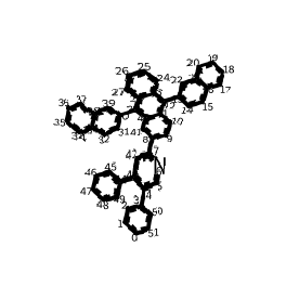 c1ccc(-c2cnc(-c3ccc4c(-c5ccc6ccccc6c5)c5ccccc5c(-c5ccc6ccccc6c5)c4c3)cc2-c2ccccc2)cc1